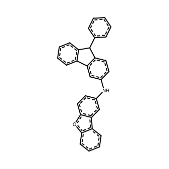 c1ccc(C2c3ccccc3-c3cc(Nc4ccc5oc6ccccc6c5c4)ccc32)cc1